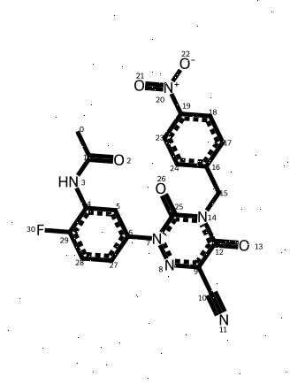 CC(=O)Nc1cc(-n2nc(C#N)c(=O)n(Cc3ccc([N+](=O)[O-])cc3)c2=O)ccc1F